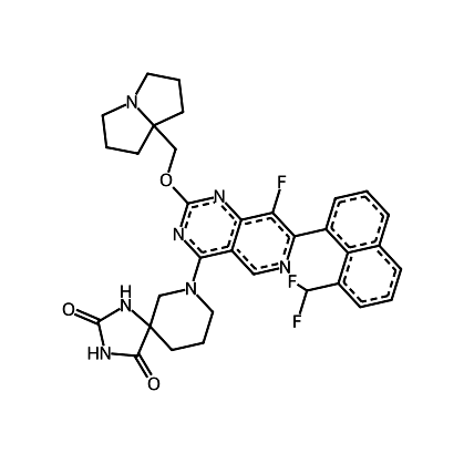 O=C1NC(=O)C2(CCCN(c3nc(OCC45CCCN4CCC5)nc4c(F)c(-c5cccc6cccc(C(F)F)c56)ncc34)C2)N1